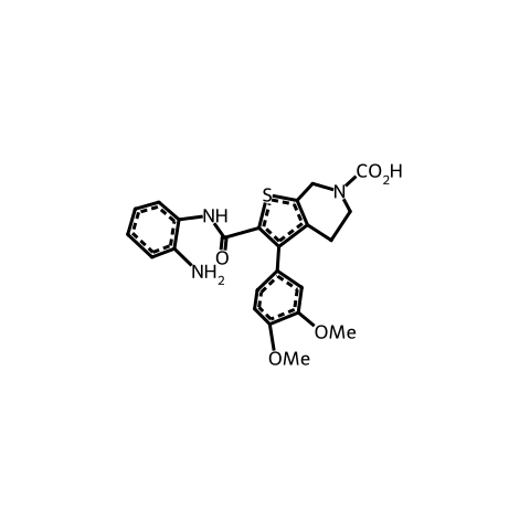 COc1ccc(-c2c(C(=O)Nc3ccccc3N)sc3c2CCN(C(=O)O)C3)cc1OC